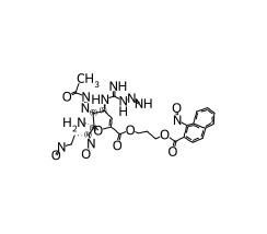 CC(=O)N=N[C@@H]1[C@@H](NC(=N)NN=N)C=C(C(=O)OCCCOC(=O)c2ccc3ccccc3c2N=O)O[C@@]1(N)[C@@H](CCN=O)N=O